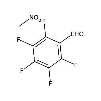 C[N+](=O)[O-].O=Cc1c(F)c(F)c(F)c(F)c1F